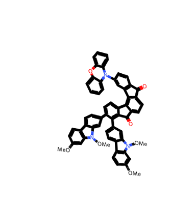 COc1ccc2c3ccc(-c4ccc5c(c4-c4ccc6c7ccc(OC)cc7n(OC)c6c4)c(=O)c4ccc6c(=O)c7ccc(N8c9ccccc9Oc9ccccc98)cc7c6c45)cc3n(OC)c2c1